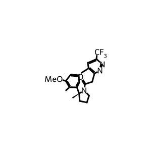 COc1cccc([C@@]2(C)CCCN2C(=O)Cc2nnc(C(F)(F)F)cc2C)c1C